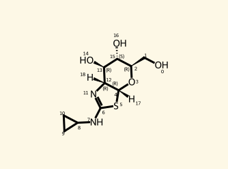 OC[C@H]1O[C@@H]2SC(NC3CC3)=N[C@@H]2[C@@H](O)[C@@H]1O